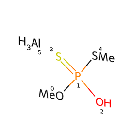 COP(O)(=S)SC.[AlH3]